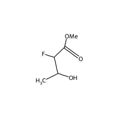 COC(=O)C(F)C(C)O